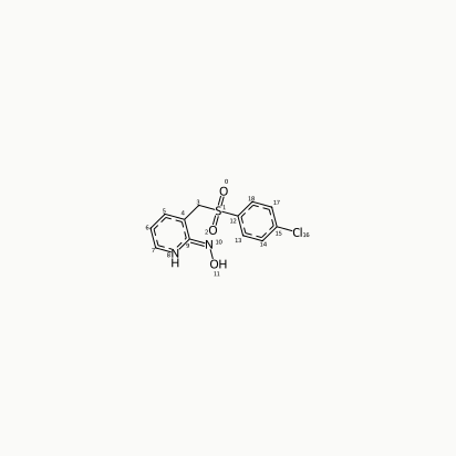 O=S(=O)(Cc1ccc[nH]c1=NO)c1ccc(Cl)cc1